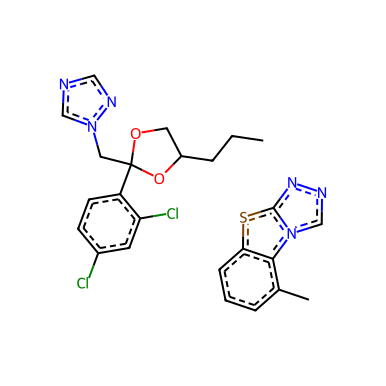 CCCC1COC(Cn2cncn2)(c2ccc(Cl)cc2Cl)O1.Cc1cccc2sc3nncn3c12